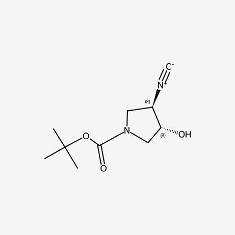 [C-]#[N+][C@@H]1CN(C(=O)OC(C)(C)C)C[C@H]1O